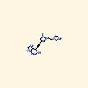 C(#CC1NCNC2NCNC12)C1CNN(CCN2CCNC2)C1